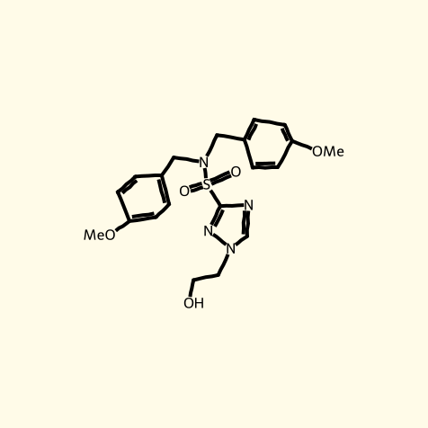 COc1ccc(CN(Cc2ccc(OC)cc2)S(=O)(=O)c2ncn(CCO)n2)cc1